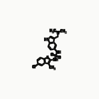 Cc1c(NS(=O)(=O)Nc2ccc3[nH]cc(CN(C)C)c3c2)sc2ccc(Cl)cc12